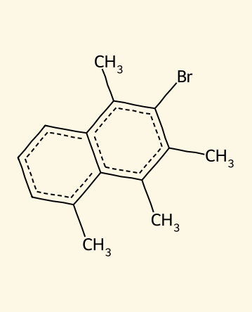 Cc1c(Br)c(C)c2cccc(C)c2c1C